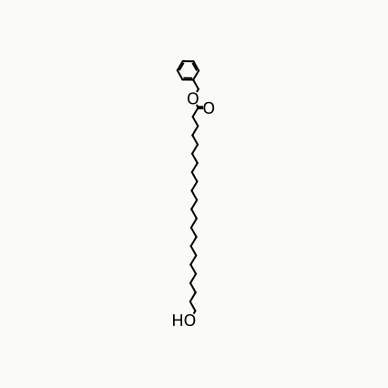 O=C(CCCCCCCCCCCCCCCCCCCCCCO)OCc1ccccc1